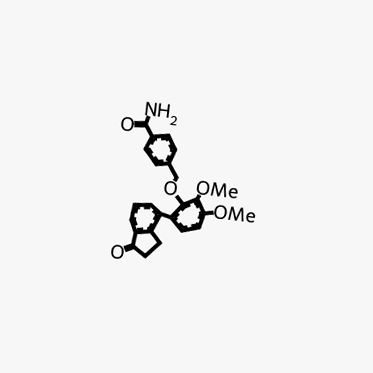 COc1ccc(-c2cccc3c2CCC3=O)c(OCc2ccc(C(N)=O)cc2)c1OC